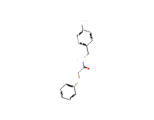 COc1ccc(CNC(=O)CSc2ccccc2)cc1